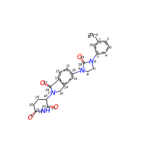 CC(C)c1cccc(N2CCN(c3ccc4c(c3)CN(C3CCC(=O)NC3=O)C4=O)C2=O)c1